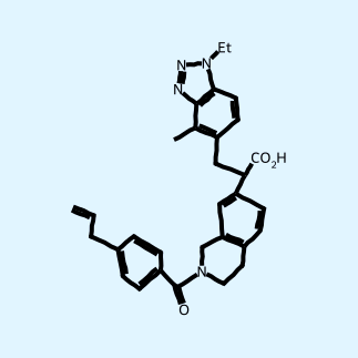 C=CCc1ccc(C(=O)N2CCc3ccc(C(Cc4ccc5c(nnn5CC)c4C)C(=O)O)cc3C2)cc1